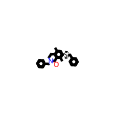 Cc1cc([Si](C)(C)Cc2ccccc2)c(C)c2c1CCN(Cc1ccccc1)C2=O